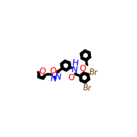 O=C(Nc1cccc(-c2nnc(-c3ccco3)o2)c1)c1cc(Br)cc(Br)c1OCc1ccccc1